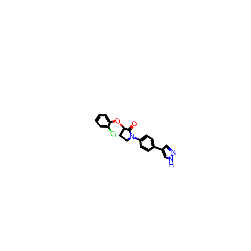 O=C1C(Oc2ccccc2Cl)CCN1c1ccc(-c2cn[nH]c2)cc1